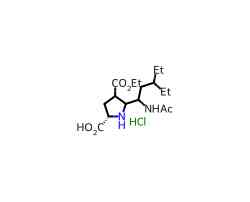 CCOC(=O)C1C[C@@H](C(=O)O)NC1C(CC(CC)CC)NC(C)=O.Cl